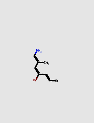 CC/C=C/C(Br)=C\C(C)=C\N